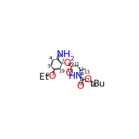 CCOc1ccc(N)c(OC(=O)CC(C)NC(=O)OC(C)(C)C)c1